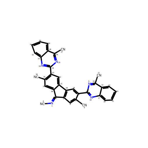 N#CN=C1c2cc(C#N)c(-c3nc(C#N)c4ccccc4n3)cc2-c2cc(-c3nc(C#N)c4ccccc4n3)c(C#N)cc21